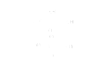 C#C[Si](C(C)C)(C(C)C)C(C)C.C#C[Si](C)(C)C